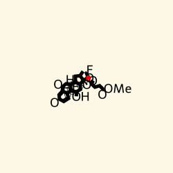 COC(=O)CCC(=O)O[C@]1(C(=O)CF)C(C)C[C@H]2[C@@H]3CC(=O)C4=CC(=O)C=C[C@]4(C)[C@@]3(F)C(O)C[C@@]21C